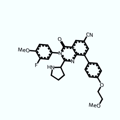 COCCOc1ccc(-c2cc(C#N)cc3c(=O)n(-c4ccc(OC)c(F)c4)c(C4CCCN4)nc23)cc1